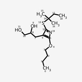 CCCCOC1=C(CC(O)CO)C(SC(C)(C)CC)=N1